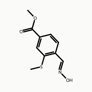 COC(=O)c1ccc(/C=N/O)c(SC)c1